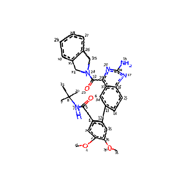 COc1cc(C(=O)NC(C)(C)C)c(-c2ccc3nc(N)nc(C(=O)N4Cc5ccccc5C4)c3c2)cc1OC